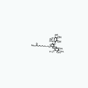 COC(=O)CCCCCCCCO[C@@H]1O[C@H](CO)[C@@H](O[C@@H]2O[C@H](CO)[C@H](O)[C@H](O)[C@H]2O)[C@H](O[C@@H]2O[C@@H](C)[C@@H](O)[C@@H](O)[C@@H]2O)[C@H]1NC(C)=O